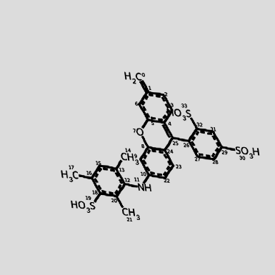 C=c1ccc2c(c1)Oc1cc(Nc3c(C)cc(C)c(S(=O)(=O)O)c3C)ccc1C=2c1ccc(S(=O)(=O)O)cc1S(=O)(=O)O